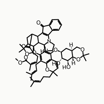 COC(=O)/C(C)=C\CC12OC(C)(C)C3CC(C1=O)C1C4=C(c5ccccc5C4=O)N4CCNC45c4c(O[C@H]6C[C@H]7COC(C)(C)O[C@@H]7[C@@H](O)[C@@H]6O)c6c(c(CC=C(C)C)c4OC32C15)OC(C)(CCC=C(C)C)C=C6